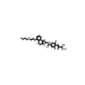 CCCCOCCCc1cccc2c1CCc1sc(NC(=O)c3cc(F)c(C=C(C)C(=O)O)c(F)c3)nc1-2